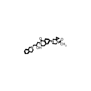 CC(=O)N1CCN(c2ccc3c(c2)CCN(CC(O)CN2CCc4ccccc4C2)C3=O)CC12CC2